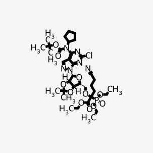 CCOC(=O)C(CCCC#N)(OC[C@H]1O[C@@H](n2ncc3c(N(C(=O)OC(C)(C)C)C4CCCC4)nc(Cl)nc32)[C@@H]2OC(C)(C)O[C@@H]21)P(=O)(OCC)OCC